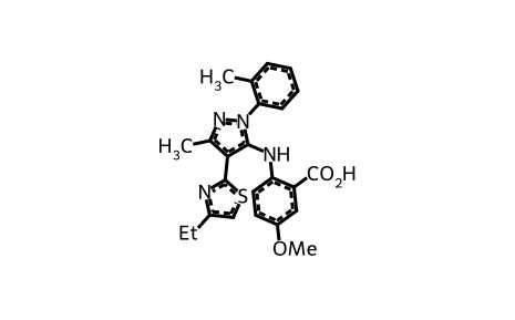 CCc1csc(-c2c(C)nn(-c3ccccc3C)c2Nc2ccc(OC)cc2C(=O)O)n1